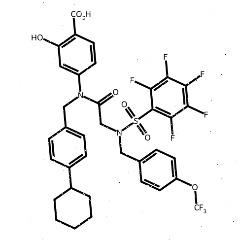 O=C(O)c1ccc(N(Cc2ccc(C3CCCCC3)cc2)C(=O)CN(Cc2ccc(OC(F)(F)F)cc2)S(=O)(=O)c2c(F)c(F)c(F)c(F)c2F)cc1O